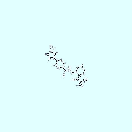 N#CC1(C(=O)N2CCOC[C@@H]2CNC(=O)c2ccc(-c3noc(C(F)(F)F)n3)cc2)CC1